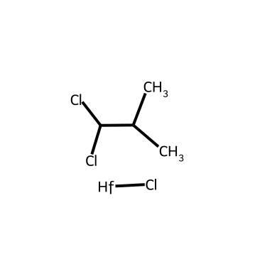 CC(C)C(Cl)Cl.[Cl][Hf]